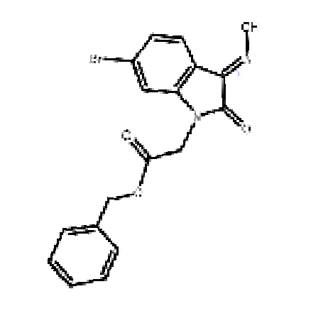 O=C(CN1C(=O)/C(=N/O)c2ccc(Br)cc21)OCc1ccccc1